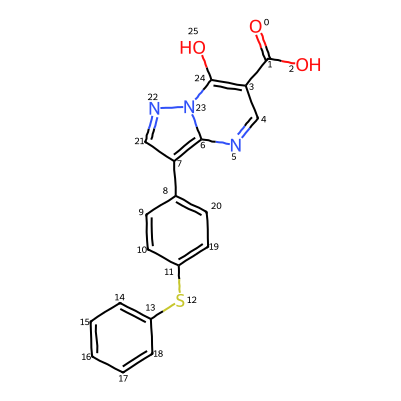 O=C(O)c1cnc2c(-c3ccc(Sc4ccccc4)cc3)cnn2c1O